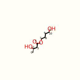 C[C@@H](O)CC(=O)OCCCCO